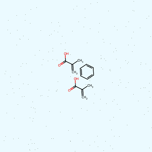 C=C(C)C(=O)O.C=C(C)C(=O)O.c1ccccc1